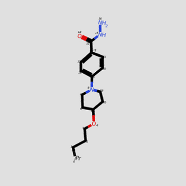 CC(C)CCCOC1CCN(c2ccc(C(=O)NN)cc2)CC1